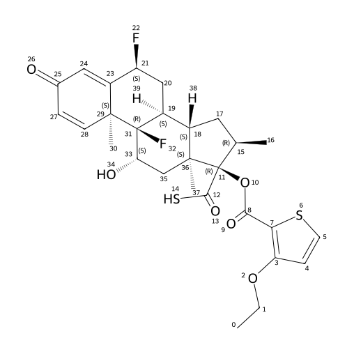 CCOc1ccsc1C(=O)O[C@]1(C(=O)S)[C@H](C)C[C@H]2[C@@H]3C[C@H](F)C4=CC(=O)C=C[C@]4(C)[C@@]3(F)[C@@H](O)C[C@@]21C